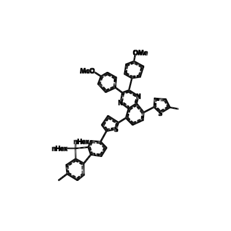 CCCCCCC1(CCCCCC)c2cc(C)ccc2-c2ccc(-c3ccc(-c4ccc(-c5ccc(C)s5)c5nc(-c6ccc(OC)cc6)c(-c6ccc(OC)cc6)nc45)s3)cc21